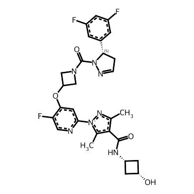 Cc1nn(-c2cc(OC3CN(C(=O)N4N=CC[C@H]4c4cc(F)cc(F)c4)C3)c(F)cn2)c(C)c1C(=O)N[C@H]1C[C@@H](O)C1